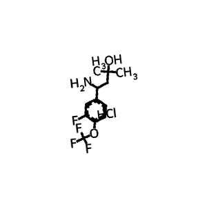 CC(C)(O)CC(N)c1ccc(OC(F)(F)F)c(F)c1.Cl